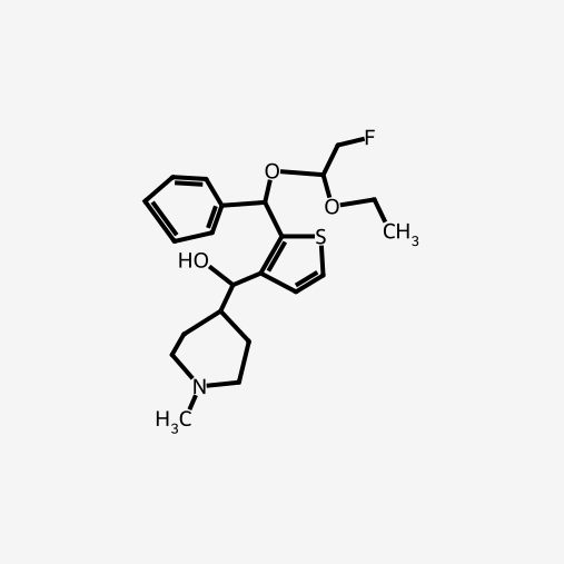 CCOC(CF)OC(c1ccccc1)c1sccc1C(O)C1CCN(C)CC1